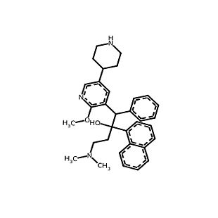 COc1ncc(C2CCNCC2)cc1C(c1ccccc1)C(O)(CCN(C)C)c1cccc2ccccc12